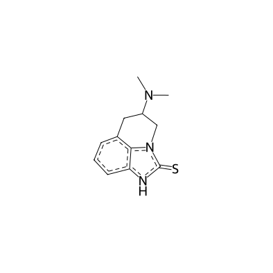 CN(C)C1Cc2cccc3[nH]c(=S)n(c23)C1